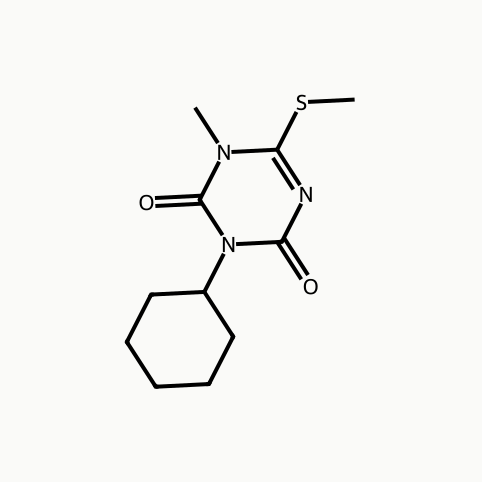 CSc1nc(=O)n(C2CCCCC2)c(=O)n1C